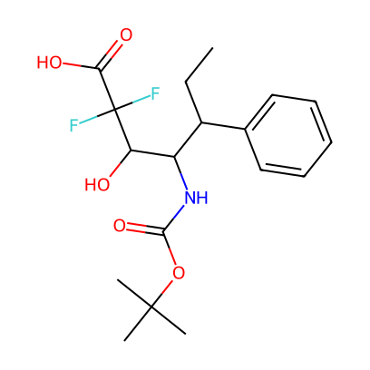 CCC(c1ccccc1)C(NC(=O)OC(C)(C)C)C(O)C(F)(F)C(=O)O